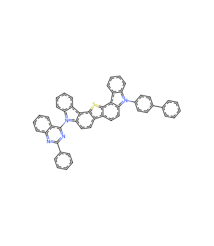 c1ccc(-c2ccc(-n3c4ccccc4c4c5sc6c(ccc7c6c6ccccc6n7-c6nc(-c7ccccc7)nc7ccccc67)c5ccc43)cc2)cc1